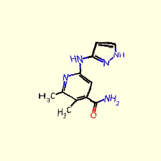 Cc1nc(Nc2cc[nH]n2)cc(C(N)=O)c1C